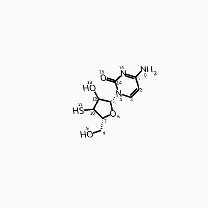 Nc1ccn([C@@H]2O[C@H](CO)C(S)C2O)c(=O)n1